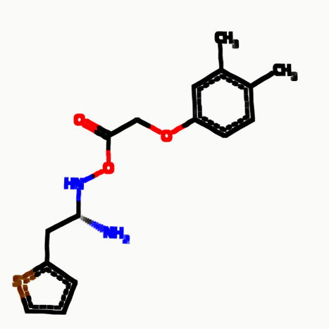 Cc1ccc(OCC(=O)ON[C@H](N)Cc2cccs2)cc1C